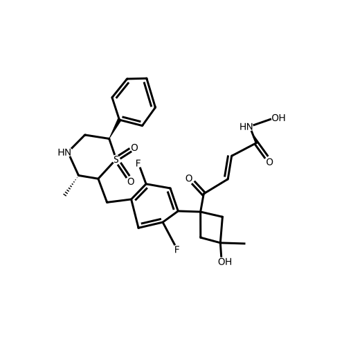 C[C@@H]1NC[C@@H](c2ccccc2)S(=O)(=O)C1Cc1cc(F)c(C2(C(=O)C=CC(=O)NO)CC(C)(O)C2)cc1F